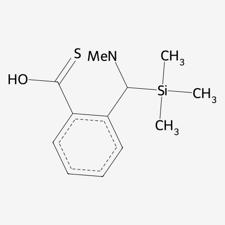 CNC(c1ccccc1C(O)=S)[Si](C)(C)C